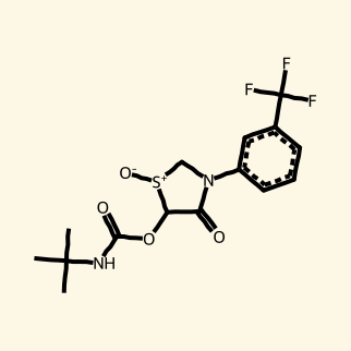 CC(C)(C)NC(=O)OC1C(=O)N(c2cccc(C(F)(F)F)c2)C[S+]1[O-]